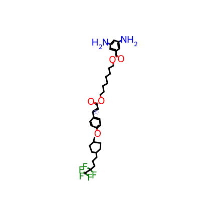 Nc1cc(N)cc(C(=O)OCCCCCCCCOC(=O)/C=C/c2ccc(OCC3CCC(CCCC(F)(F)C(F)(F)F)CC3)cc2)c1